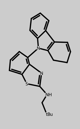 CC(C)(C)CNc1nc2c(-n3c4c(c5ccccc53)C=CCC4)cccc2s1